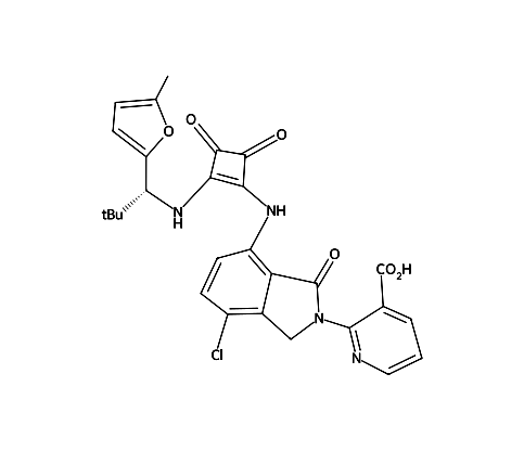 Cc1ccc([C@H](Nc2c(Nc3ccc(Cl)c4c3C(=O)N(c3ncccc3C(=O)O)C4)c(=O)c2=O)C(C)(C)C)o1